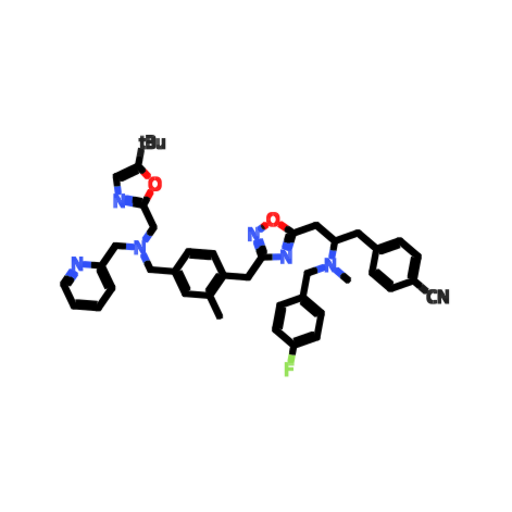 Cc1cc(CN(Cc2ccccn2)Cc2ncc(C(C)(C)C)o2)ccc1Cc1noc(CC(Cc2ccc(C#N)cc2)N(C)Cc2ccc(F)cc2)n1